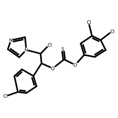 S=C(Oc1ccc(Cl)c(Cl)c1)OC(c1ccc(Cl)cc1)C(Cl)n1ccnc1